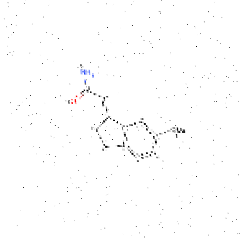 COc1ccc2c(c1)C(=CC(N)=O)CC2